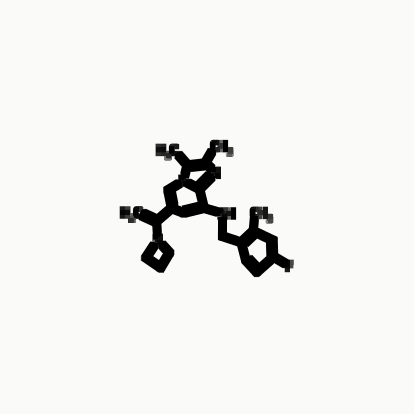 C=C(c1cc(NCc2ccc(F)cc2C)c2nc(C)c(C)n2c1)N1CCC1